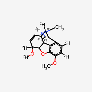 [2H]OC1([2H])C=C[C@]2([2H])[C@@]34CCN(C)[C@]2([2H])Cc2c([2H])c([2H])c(OC)c(c23)OC14